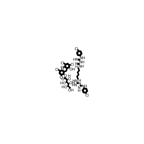 N=C(NCCCCCCNC(=N)NC(=N)Nc1ccc(Cl)cc1)NC(=N)Nc1ccc(Cl)cc1.O=C(Oc1c(Cl)cc(Cl)c(Cl)c1Cc1c(O)c(Cl)cc(Cl)c1Cl)[C@H](O)[C@@H](O)[C@H](O)[C@H](O)CO